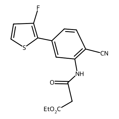 CCOC(=O)CC(=O)Nc1cc(-c2sccc2F)ccc1C#N